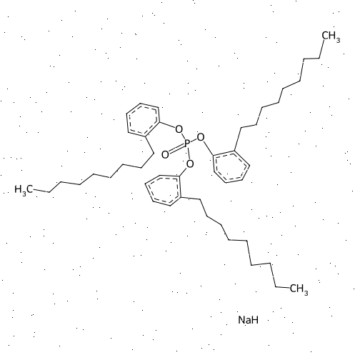 CCCCCCCCCc1ccccc1OP(=O)(Oc1ccccc1CCCCCCCCC)Oc1ccccc1CCCCCCCCC.[NaH]